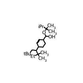 CCC(C)(C)C(CC(C)(C)C)C1C=CC(C(O)OC(C)(C)C(C)C)CC1